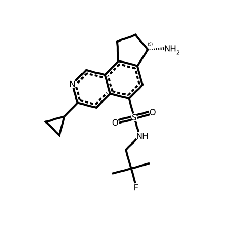 CC(C)(F)CNS(=O)(=O)c1cc2c(c3cnc(C4CC4)cc13)CC[C@@H]2N